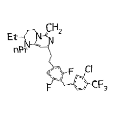 C=C1N=C(CCc2cc(F)c(Cc3ccc(C(F)(F)F)c(Cl)c3)c(F)c2)C=C2N1CCC(CC)N2CCC